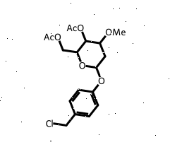 COC1CC(Oc2ccc(CCl)cc2)OC(COC(C)=O)C1OC(C)=O